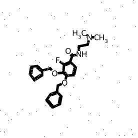 CN(C)CCNC(=O)c1ccc(OCc2ccccc2)c(OCc2ccccc2)c1F